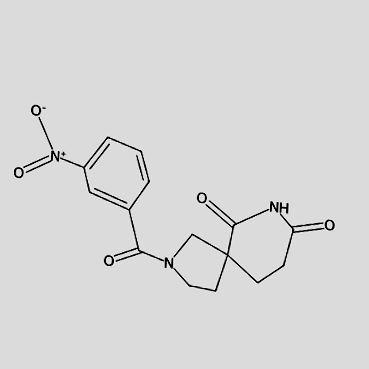 O=C1CCC2(CCN(C(=O)c3cccc([N+](=O)[O-])c3)C2)C(=O)N1